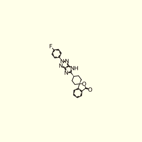 O=C1O[C@]2(CC[C@H](c3nc4nn(-c5ccc(F)cc5)nc4[nH]3)CC2)c2ccccc21